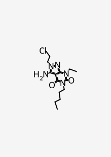 CCCCCn1c(=O)c2c(N)n(CCCl)nc2n(CC)c1=O